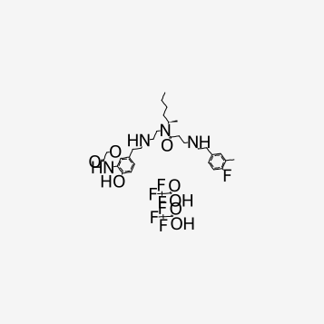 CCCC[C@@H](C)N(CCNCCc1ccc(O)c2c1OCC(=O)N2)C(=O)CCNCCc1ccc(F)c(C)c1.O=C(O)C(F)(F)F.O=C(O)C(F)(F)F